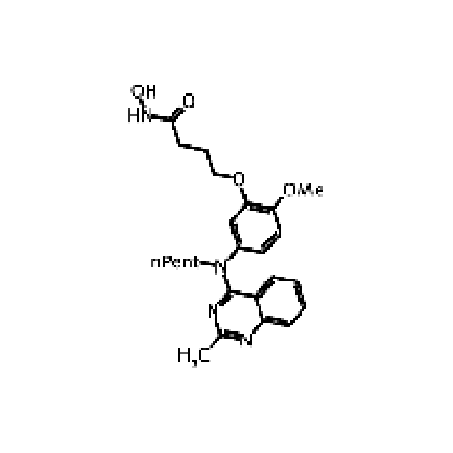 CCCCCN(c1ccc(OC)c(OCCCC(=O)NO)c1)c1nc(C)nc2ccccc12